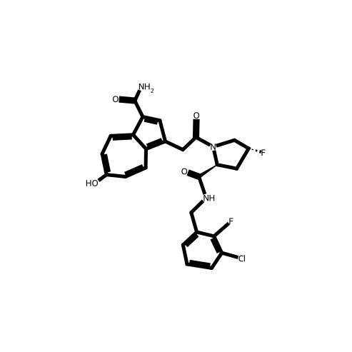 NC(=O)c1cc(CC(=O)N2C[C@H](F)C[C@H]2C(=O)NCc2cccc(Cl)c2F)c2ccc(O)ccc1-2